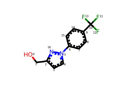 OCc1ccn(-c2ccc(C(F)(F)F)cc2)n1